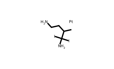 CC(CCN)C(N)(I)I.[Pt]